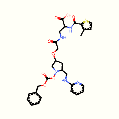 Cc1ccsc1C(=O)NC(CNC(=O)COC1CC(CNc2ccccn2)N(OC(=O)OCc2ccccc2)C1)C(=O)O